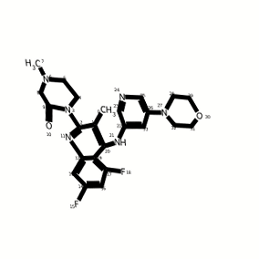 Cc1c(N2CCN(C)CC2=O)nc2cc(F)cc(F)c2c1Nc1cncc(N2CCOCC2)c1